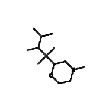 CC(C)C(C)C(C)(C)C1CN(C)CCO1